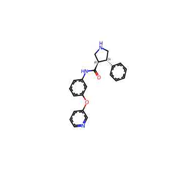 O=C(Nc1cccc(Oc2cccnc2)c1)[C@H]1CNC[C@@H]1c1ccccc1